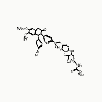 COC(=O)C(CCNC(=O)OC(C)(C)C)N[C@H]1CC[C@H](CN(C)c2ccc(N3C(=O)Cc4cc(OC)c(OC(C)C)cc4[C@@H]3c3ccc(Cl)cc3)cn2)CC1